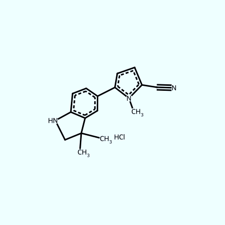 Cl.Cn1c(C#N)ccc1-c1ccc2c(c1)C(C)(C)CN2